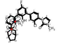 Cn1ccn(-c2ccc(-c3cc(F)cc(-c4cncc(N5CC6CCC(C5)N6C(=O)OC(C)(C)C)c4)c3O)cc2Cl)c1=O